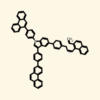 C=Cc1ccc2ccccc2c1/C=C\CC1=CCC(c2ccc3c(c2)c(-c2ccc(-c4ccc5c(ccc6ccccc65)c4)cc2)cn3-c2ccc(-c3cc4ccccc4c4ccccc34)cc2)C=C1